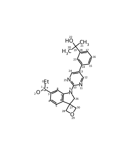 CC[S+]([O-])c1ccc2c(c1)N(c1ncc(-c3cccc(C(C)(C)O)c3)cn1)CC21COC1